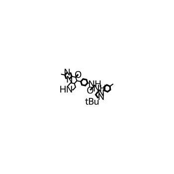 Cc1ccc(-n2nc(C(C)(C)C)cc2NC(=O)Nc2ccc(C(C(=O)c3cnc(C)cn3)C3CCNCC3)cc2)cc1